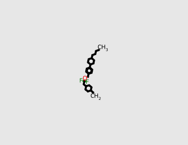 C=CC1CCC(CC(F)(F)OCc2ccc(C3CCC(CCCCC)CC3)cc2)CC1